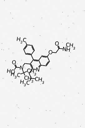 CNC(=O)COc1ccc2nc(CC(C)C)c(CN(C(=O)O)C(C)(C)C)c(-c3ccc(C)cc3)c2c1